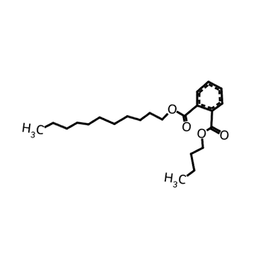 CCCCCCCCCCCOC(=O)c1ccccc1C(=O)OCCCC